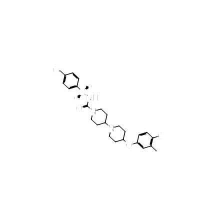 Cc1cc(OC2CCN(C3CCN(C(=O)NS(=O)(=O)c4ccc(Cl)cc4)CC3)CC2)ccc1Cl